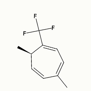 CC1=CC=C(C(F)(F)F)[C@H](C)C=C1